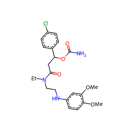 CCN(CCNc1ccc(OC)c(OC)c1)C(=O)CC(OC(N)=O)c1ccc(Cl)cc1